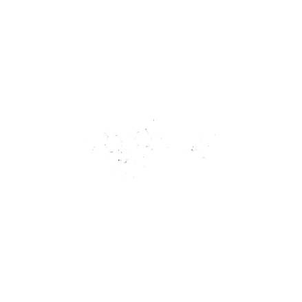 CC(=O)c1cn2c(cc1=O)-c1cc(Cl)c(OCCCN3CC4(COC4)C3)cc1[C@H]1CCC(C)(C)[C@H]12